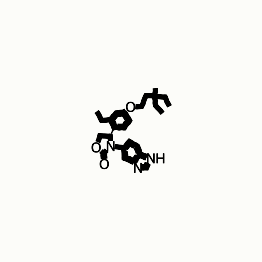 CCc1cc(OCCC(C)(CC)CC)ccc1[C@H]1COC(=O)N1c1ccc2[nH]cnc2c1